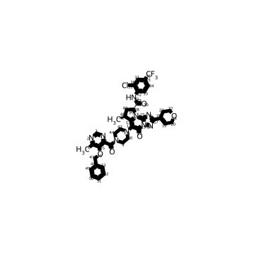 Cc1ncnc(C(=O)N2CCN(c3c4n(c5nc(C6=CCOCC6)nn5c3=O)[C@@H](C(=O)Nc3ccc(C(F)(F)F)cc3Cl)C[C@@H]4C)CC2)c1OCc1ccccc1